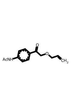 C=CCOCC(=O)c1ccc(NC(C)=O)cc1